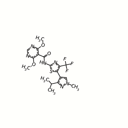 COc1ncnc(OC)c1C(=O)Nc1nc(C(F)(F)F)c(-c2cn(C)nc2C(C)C)s1